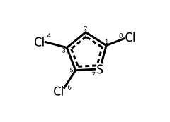 Clc1[c]c(Cl)c(Cl)s1